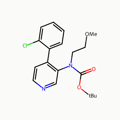 COCCN(C(=O)OC(C)(C)C)c1cnccc1-c1ccccc1Cl